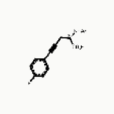 CC(=O)N[C@@H](CC#Cc1ccc(F)cc1)C(=O)O